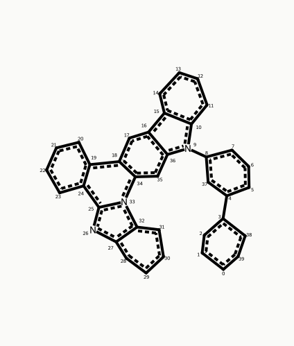 c1ccc(-c2cccc(-n3c4ccccc4c4cc5c6ccccc6c6nc7ccccc7n6c5cc43)c2)cc1